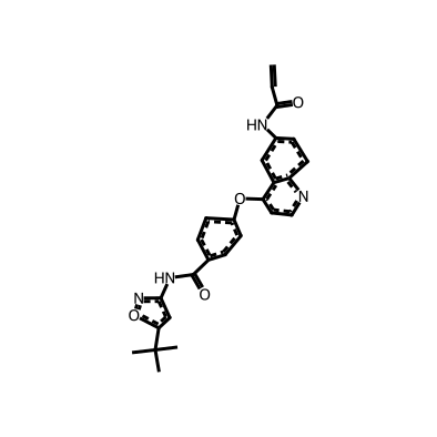 C=CC(=O)Nc1ccc2nccc(Oc3ccc(C(=O)Nc4cc(C(C)(C)C)on4)cc3)c2c1